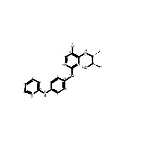 C[C@@H](O)[C@@H](C)Nc1nc(Nc2ccc(Nc3ccccn3)cc2)ncc1Br